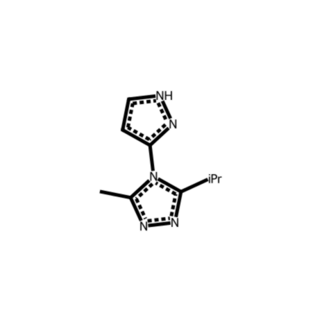 Cc1nnc(C(C)C)n1-c1cc[nH]n1